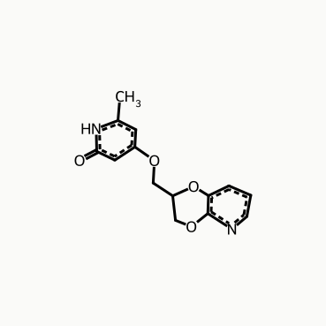 Cc1cc(OCC2COc3ncccc3O2)cc(=O)[nH]1